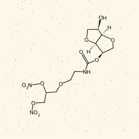 O=C(NCCOCC(CO[N+](=O)[O-])O[N+](=O)[O-])O[C@@H]1CO[C@H]2[C@@H]1OC[C@H]2O